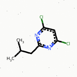 CC(C)Cc1nc(Cl)cc(Cl)n1